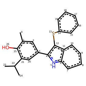 Cc1cc(-c2[nH]c3ccccc3c2Sc2ccccc2)cc(C(C)C)c1O